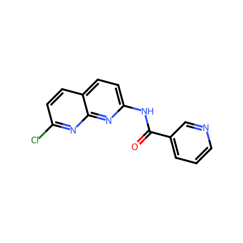 O=C(Nc1ccc2ccc(Cl)nc2n1)c1cccnc1